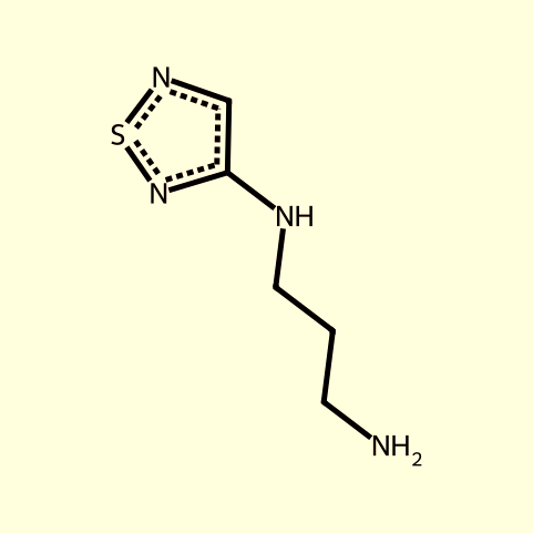 NCCCNc1cnsn1